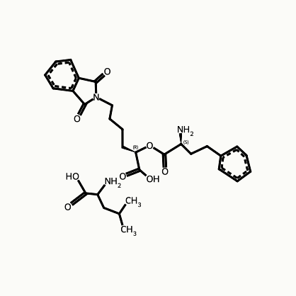 CC(C)CC(N)C(=O)O.N[C@@H](CCc1ccccc1)C(=O)O[C@H](CCCCN1C(=O)c2ccccc2C1=O)C(=O)O